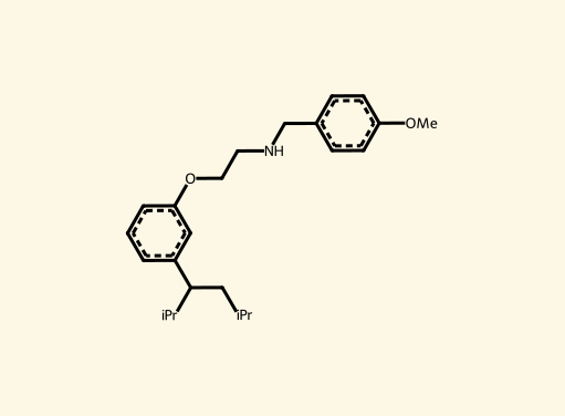 [CH2]C(C)C(CC(C)C)c1cccc(OCCNCc2ccc(OC)cc2)c1